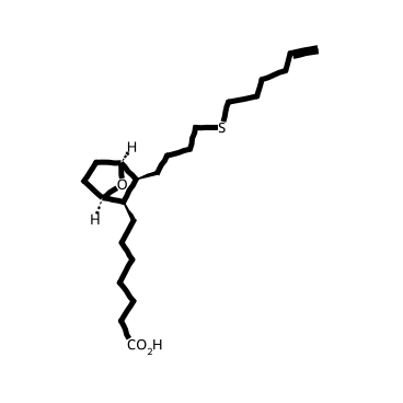 C=CCCCCSCCCC[C@H]1[C@@H](CCCCCCC(=O)O)[C@H]2CC[C@@H]1O2